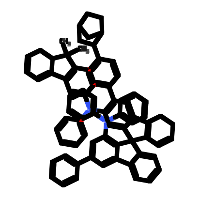 CC1(C)c2ccc(N(c3ccccc3)c3cc4c(cc3-c3ccc(C5CC6CCC5C6)cc3)C3=C(C=CCC3)C43c4ccccc4-c4cc(-c5ccccc5)cc(N(c5ccccc5)c5ccccc5)c43)cc2C2=CC=CCC21